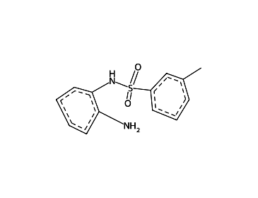 Cc1cccc(S(=O)(=O)Nc2ccccc2N)c1